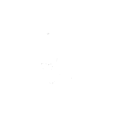 COc1ccc(F)cc1C1(C)C=Nc2ccccc2C1C(CCCCN)C1CC1